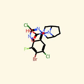 O=C(O)N1CC2CCC(C1)N2c1nc(Cl)nc2c(F)c(Br)c(Cl)cc12